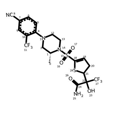 C[C@@H]1CN(c2ccc(C#N)cc2C(F)(F)F)CCN1S(=O)(=O)C1=CCC(C(O)(C(N)=O)C(F)(F)F)S1